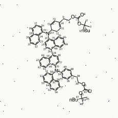 CCCCC(C)(C)OC(=O)OCCC1=CCC(N(c2cccc3ccccc23)c2ccc(-c3ccc(N(c4ccc(CCOC(=O)OC(C)(C)CCCC)cc4)c4cccc5ccccc45)c4ccccc34)c3ccccc23)C=C1